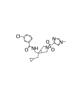 Cn1cnc(S(=O)(=O)N2CC3C(C2)C3(CNC(=O)c2cccc(Cl)c2)CC2CC2)c1